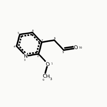 COc1ncccc1CC=O